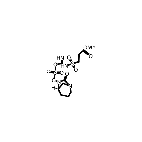 COC(=O)CCS(=O)(=O)NC(=N)OS(=O)(=O)ON1C(=O)N2CCC[C@@H]1C2